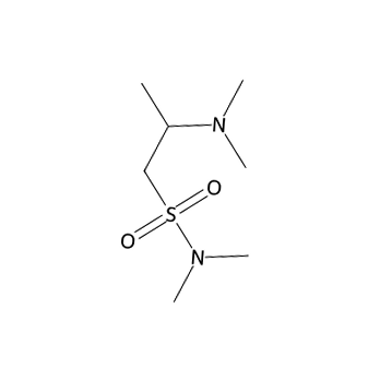 CC(CS(=O)(=O)N(C)C)N(C)C